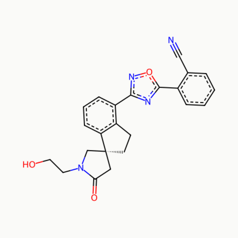 N#Cc1ccccc1-c1nc(-c2cccc3c2CC[C@@]32CC(=O)N(CCO)C2)no1